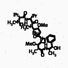 CCC(C)[C@@H]([C@@H](CC(=O)N1CC[C@H]1[C@H](OC)[C@@H](C)C(=O)N[C@H](C)[C@@H](O)c1ccccc1)OC)N(C)C(=O)[C@@H](NC(=O)[C@H](C(C)C)N(C)C)C(C)C